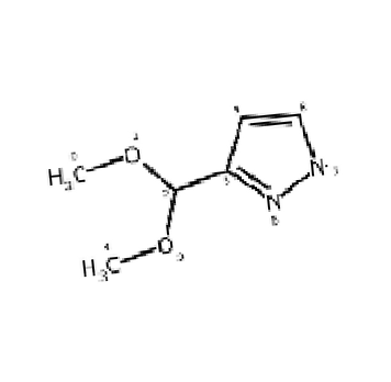 COC(OC)C1=N[N]C=C1